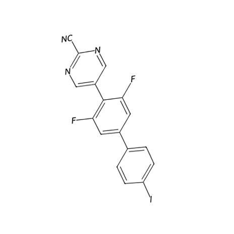 N#Cc1ncc(-c2c(F)cc(-c3ccc(I)cc3)cc2F)cn1